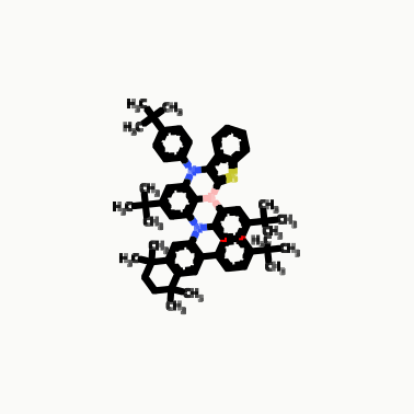 CC(C)(C)c1ccc(-c2cc3c(cc2N2c4ccc(C(C)(C)C)cc4B4c5sc6ccccc6c5N(c5ccc(C(C)(C)C)cc5)c5cc(C(C)(C)C)cc2c54)C(C)(C)CCC3(C)C)cc1